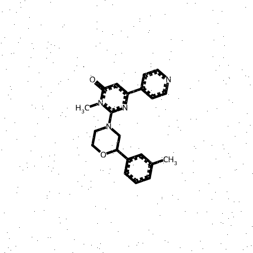 Cc1cccc(C2CN(c3nc(-c4ccncc4)cc(=O)n3C)CCO2)c1